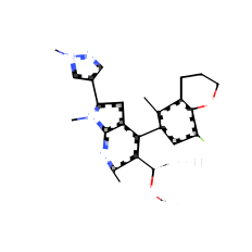 CCCn1cc(-c2cc3c(-c4cc(F)c5c(c4C)CCCO5)c([C@H](OC(C)(C)C)C(=O)O)c(C)nc3n2C)cn1